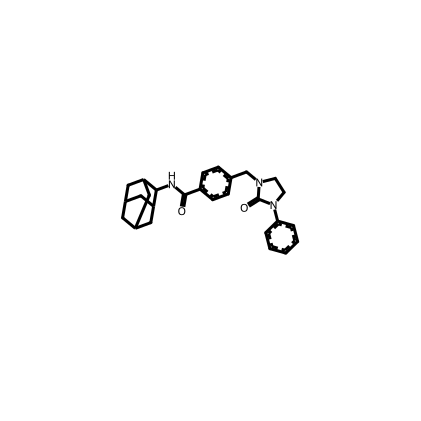 O=C(NC1C2CC3CC(C2)CC1C3)c1ccc(CN2CCN(c3ccccc3)C2=O)cc1